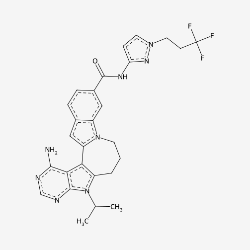 CC(C)n1c2c(c3c(N)ncnc31)-c1cc3ccc(C(=O)Nc4ccn(CCC(F)(F)F)n4)cc3n1CCC2